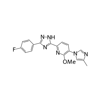 COc1nc(-c2nc(-c3ccc(F)cc3)n[nH]2)ccc1-n1cnc(C)c1